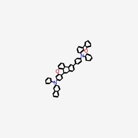 c1ccc(N(c2ccc3c(c2)Oc2cccc4c2c-3cc2ccc(-c3ccc(N(c5ccccc5)c5cccc6c5oc5ccccc56)cc3)cc24)c2ccc3ccccc3c2)cc1